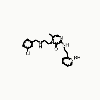 Cc1cnc(NCCc2cccc[n+]2O)c(=O)n1CCNCc1cccc(Cl)c1